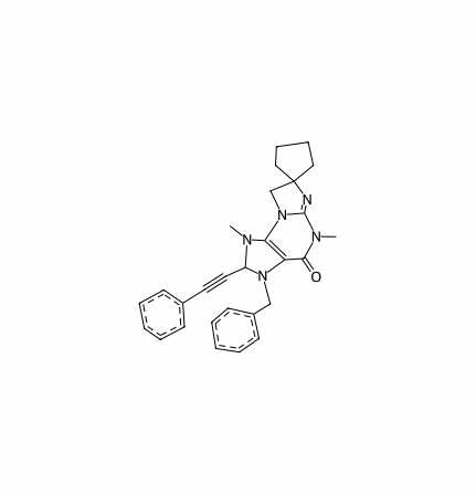 CN1C(=O)C2=C(N3CC4(CCCC4)N=C13)N(C)C(C#Cc1ccccc1)N2Cc1ccccc1